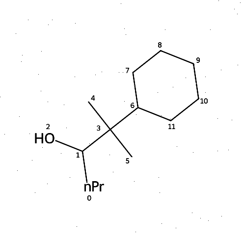 CCCC(O)C(C)(C)C1CCCCC1